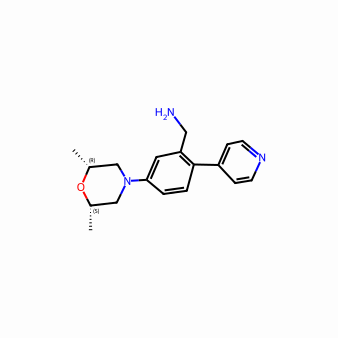 C[C@@H]1CN(c2ccc(-c3ccncc3)c(CN)c2)C[C@H](C)O1